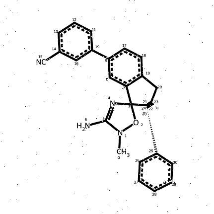 CN1OC2(N=C1N)c1cc(-c3cccc(C#N)c3)ccc1CC21C=C[C@H](c2ccccc2)C1